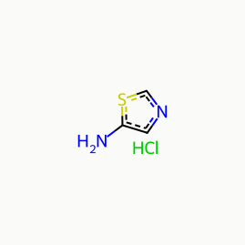 Cl.Nc1cncs1